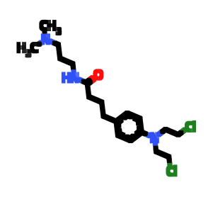 CN(C)CCCNC(=O)CCCc1ccc(N(CCCl)CCCl)cc1